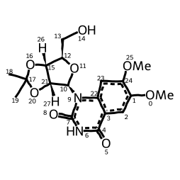 COc1cc2c(=O)[nH]c(=O)n([C@@H]3O[C@H](CO)[C@H]4OC(C)(C)O[C@H]43)c2cc1OC